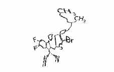 CCCCC(CC)COc1cc(/C=C2\C(=O)c3cc(F)c(F)cc3C2=C(C#N)C#N)sc1Br